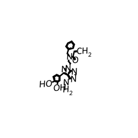 C=CC(=O)N(CCn1nc(-c2ccc(O)c(O)c2)c2c(N)ncnc21)Cc1ccccc1